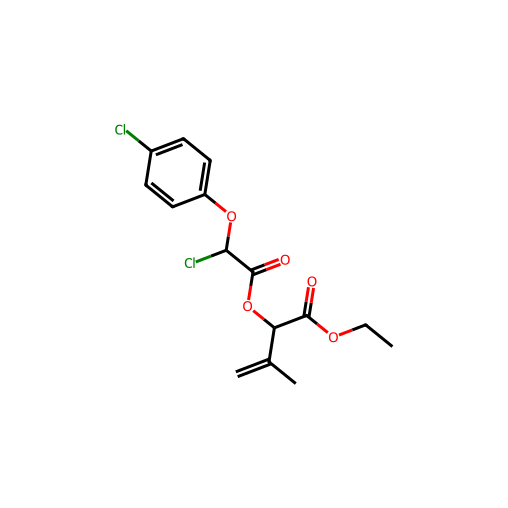 C=C(C)C(OC(=O)C(Cl)Oc1ccc(Cl)cc1)C(=O)OCC